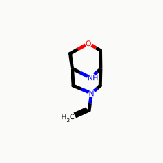 C=CN1CC2COCC(C1)N2